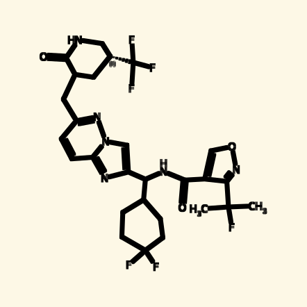 CC(C)(F)c1nocc1C(=O)NC(c1cn2nc(CC3C[C@@H](C(F)(F)F)CNC3=O)ccc2n1)C1CCC(F)(F)CC1